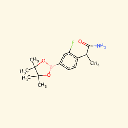 C[C](C(N)=O)c1ccc(B2OC(C)(C)C(C)(C)O2)cc1F